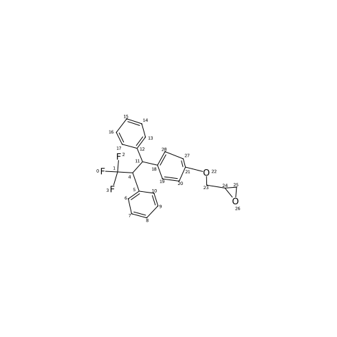 FC(F)(F)C(c1ccccc1)C(c1ccccc1)c1ccc(OCC2CO2)cc1